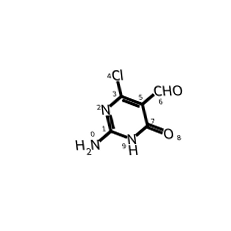 Nc1nc(Cl)c(C=O)c(=O)[nH]1